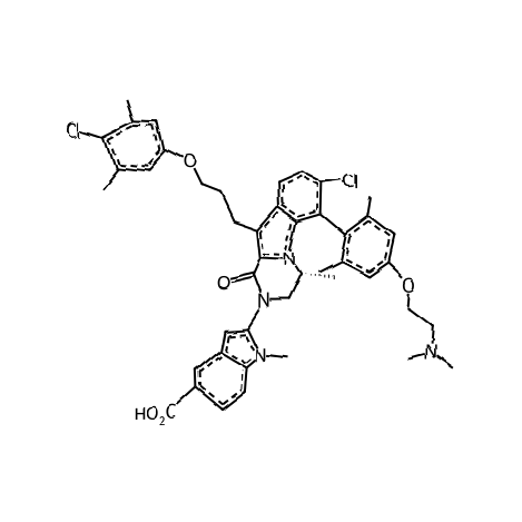 Cc1cc(OCCCc2c3n(c4c(-c5c(C)cc(OCCN(C)C)cc5C)c(Cl)ccc24)[C@H](C)CN(c2cc4cc(C(=O)O)ccc4n2C)C3=O)cc(C)c1Cl